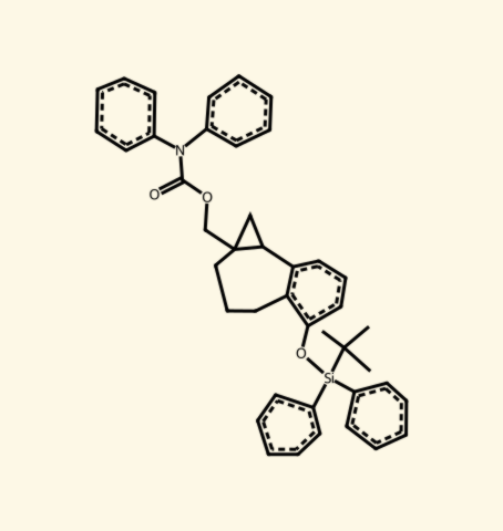 CC(C)(C)[Si](Oc1cccc2c1CCCC1(COC(=O)N(c3ccccc3)c3ccccc3)CC21)(c1ccccc1)c1ccccc1